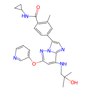 Cc1cc(-c2cnc3c(NCC(C)(C)O)cc(Oc4cccnc4)nn23)ccc1C(=O)NC1CC1